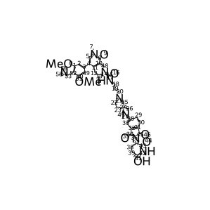 COc1cc(-c2cn(C)c(=O)c3c2CCN(C(=O)NCCCN2CCC4(C2)CN(c2ccc5c(c2)C(=O)N(C2CCC(O)NC2=O)C5=O)C4)C3)cc(OC)c1CN(C)C